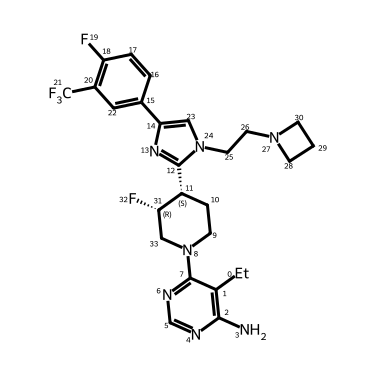 CCc1c(N)ncnc1N1CC[C@@H](c2nc(-c3ccc(F)c(C(F)(F)F)c3)cn2CCN2CCC2)[C@@H](F)C1